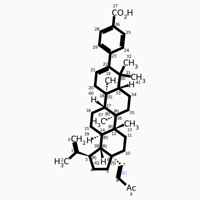 C=C(C)[C@@H]1CC[C@]2(/C=C/C(C)=O)CC[C@]3(C)[C@H](CC[C@@H]4[C@@]5(C)CC=C(c6ccc(C(=O)O)cc6)C(C)(C)[C@@H]5CC[C@]43C)[C@@H]12